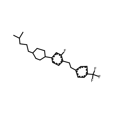 CC(C)CCCC1CCC(c2ccc(CCc3ccc(C(F)(F)F)cc3)c(F)c2)CC1